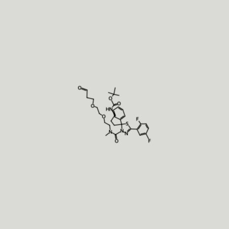 CN(CCOCCOCCC=O)C(=O)N1N=C(c2cc(F)ccc2F)SC1(CCCNC(=O)OC(C)(C)C)c1ccccc1